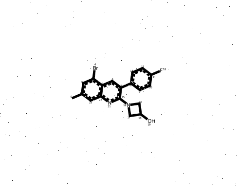 Cc1cc(Br)c2cc(-c3ccc(F)cc3)c(N3CC(O)C3)nc2c1